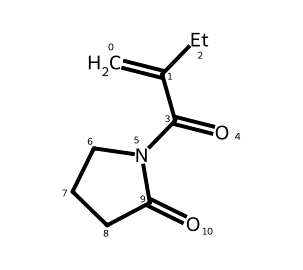 C=C(CC)C(=O)N1CCCC1=O